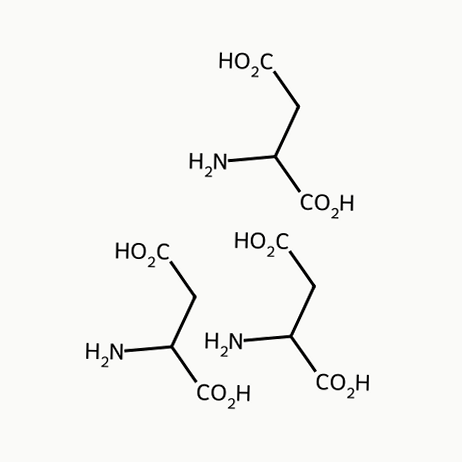 NC(CC(=O)O)C(=O)O.NC(CC(=O)O)C(=O)O.NC(CC(=O)O)C(=O)O